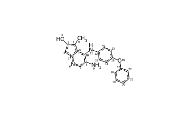 Cc1c(O)cn2ncc(N)c(Nc3ccc(Oc4ccccc4)cc3)c12